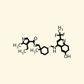 CCC1=C(C(=O)/N=C/C2(C)CCC[C@@H](CNc3cc(C(C)(F)F)nc4c3C=C(O)CC4)C2)C=NC1C